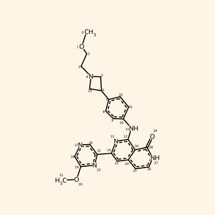 COCCN1CC(c2ccc(Nc3nc(-c4cncc(OC)n4)cc4cc[nH]c(=O)c34)cc2)C1